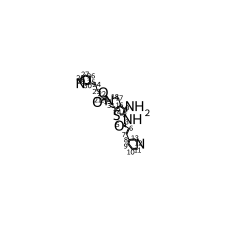 Nc1c(NC(=O)/C=C/c2cccnc2)sc2c1CCN(C(=O)OCCc1cccnc1)C2